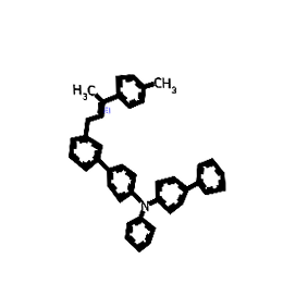 C/C(=C\Cc1cccc(-c2ccc(N(c3ccccc3)c3ccc(-c4ccccc4)cc3)cc2)c1)c1ccc(C)cc1